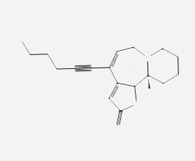 C[C@H]1C=C(C#CCCCCl)C2=CC(=O)O[C@]2(C)[C@H]2CCCCN12